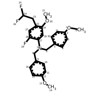 COc1ccc(CN(Cc2ccc(OC)cc2)c2cc(OC)c(CC(F)F)cc2F)cc1